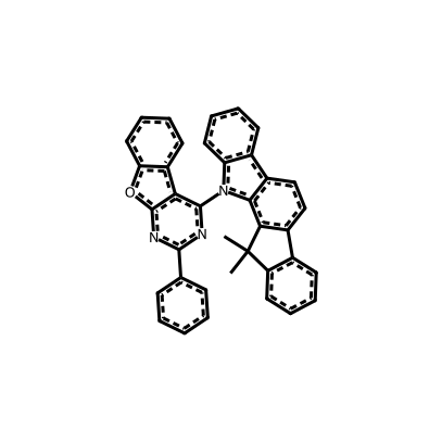 CC1(C)c2ccccc2-c2ccc3c4ccccc4n(-c4nc(-c5ccccc5)nc5oc6ccccc6c45)c3c21